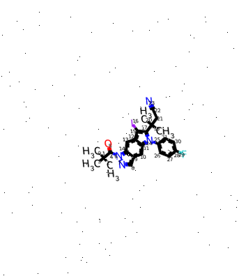 CC(C)(C)C(=O)n1ncc2cc3c(cc21)c(I)c(C(C)(C)CC#N)n3-c1ccc(F)cc1